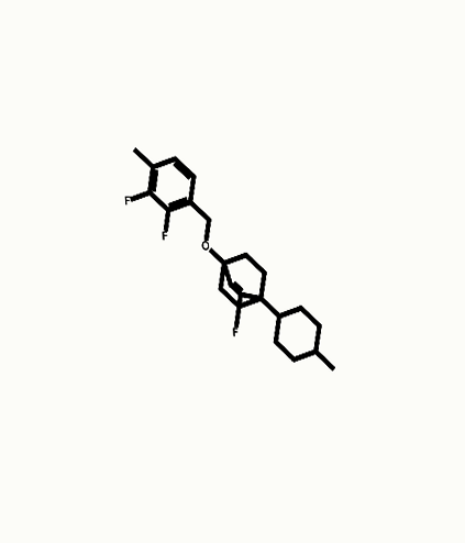 Cc1ccc(COC23C=C(F)C(C4CCC(C)CC4)(CC2)CC3)c(F)c1F